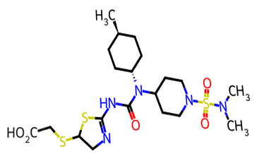 CN(C)S(=O)(=O)N1CCC(N(C(=O)NC2=NCC(SCC(=O)O)S2)[C@H]2CC[C@H](C)CC2)CC1